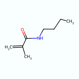 C=C(C)C(=O)NCCCC